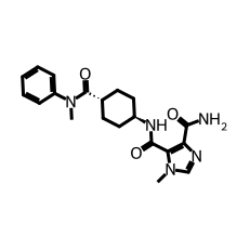 CN(c1ccccc1)C(=O)[C@H]1CC[C@H](NC(=O)c2c(C(N)=O)ncn2C)CC1